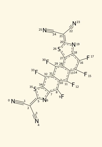 N#CC(C#N)=c1nc2c(F)c3c(F)c4c(F)c(F)c5nc(=C(C#N)C#N)sc5c4c(F)c3c(F)c2s1